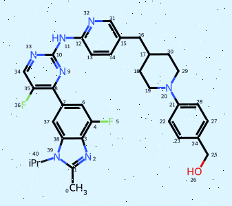 Cc1nc2c(F)cc(-c3nc(Nc4ccc(CC5CCN(c6ccc(CO)cc6)CC5)cn4)ncc3F)cc2n1C(C)C